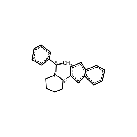 C[C@H](c1ccccc1)N1CCCC[C@H]1c1ccc2ccccc2c1